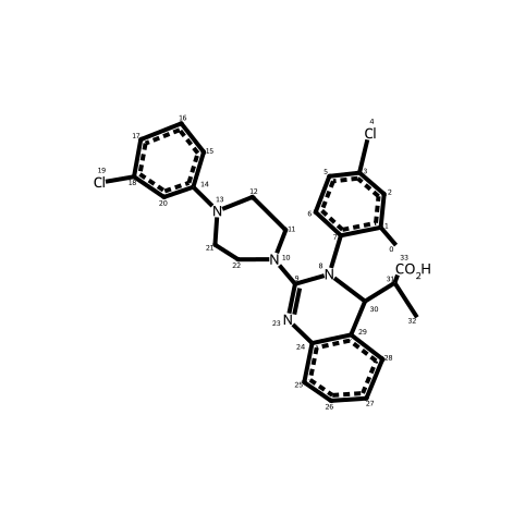 Cc1cc(Cl)ccc1N1C(N2CCN(c3cccc(Cl)c3)CC2)=Nc2ccccc2C1C(C)C(=O)O